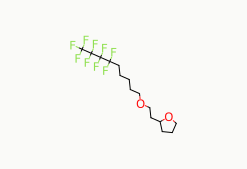 FC(F)(F)C(F)(F)C(F)(F)C(F)(F)CCCCCOCCC1CCCO1